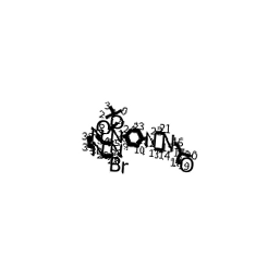 CC(C)(C)OC(=O)N(c1ccc(N2CCN(CC3COC3)CC2)cc1)c1nc(Br)cn2ccnc12